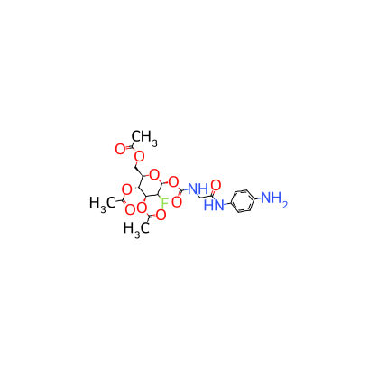 CC(=O)OC[C@H]1O[C@@H](OC(=O)NCC(=O)Nc2ccc(N)cc2)[C@@H](F)[C@@H](OC(C)=O)[C@@H]1OC(C)=O